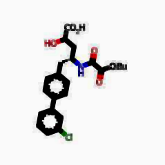 CC(C)COC(=O)C(=O)N[C@H](Cc1ccc(-c2cccc(Cl)c2)cc1)CC(O)C(=O)O